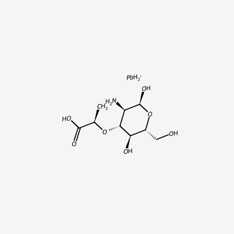 C[C@@H](O[C@@H]1[C@@H](N)[C@@H](O)O[C@H](CO)[C@H]1O)C(=O)O.[PbH2]